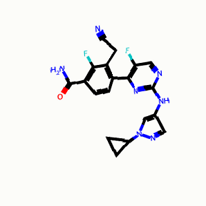 N#CCc1c(-c2nc(Nc3cnn(C4CC4)c3)ncc2F)ccc(C(N)=O)c1F